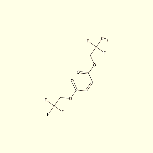 CC(F)(F)COC(=O)/C=C\C(=O)OCC(F)(F)F